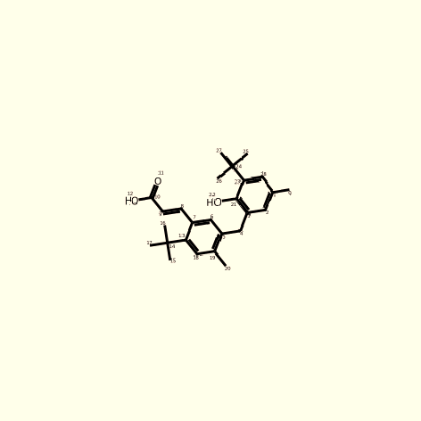 Cc1cc(Cc2cc(C=CC(=O)O)c(C(C)(C)C)cc2C)c(O)c(C(C)(C)C)c1